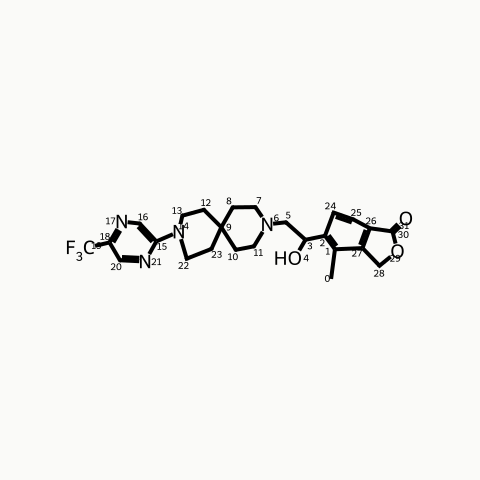 Cc1c(C(O)CN2CCC3(CC2)CCN(c2cnc(C(F)(F)F)cn2)CC3)ccc2c1COC2=O